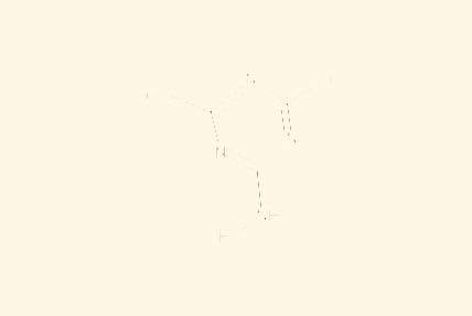 CCCCc1nc(Cl)nc(NCC)n1